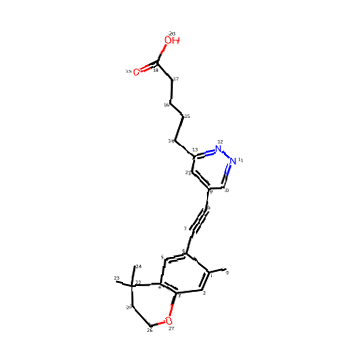 Cc1cc2c(cc1C#Cc1cnnc(CCCCC(=O)O)c1)C(C)(C)CCO2